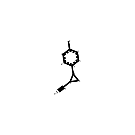 Cc1ccc(C2CC2C#N)cc1